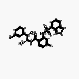 C[C@@H](NC(=O)c1ccc(I)cc1NS(=O)(=O)c1cccc2nsnc12)[C@@H](O)c1cccc(Br)c1